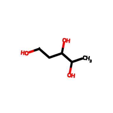 CC(O)C(O)C[CH]O